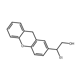 CCC(CO)c1ccc2c(c1)Cc1ccccc1O2